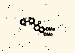 COc1cc2c(cc1OC)C(=O)N(c1ccnc(-c3ncccn3)n1)CC2